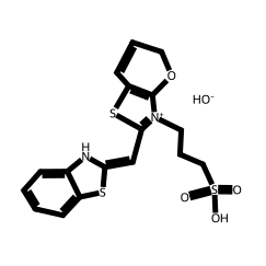 O=S(=O)(O)CCC[n+]1c(C=C2Nc3ccccc3S2)sc2c1OCC=C2.[OH-]